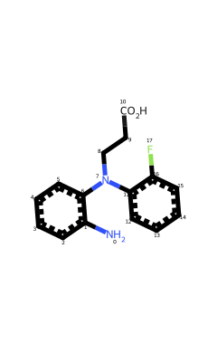 Nc1ccccc1N(CCC(=O)O)c1ccccc1F